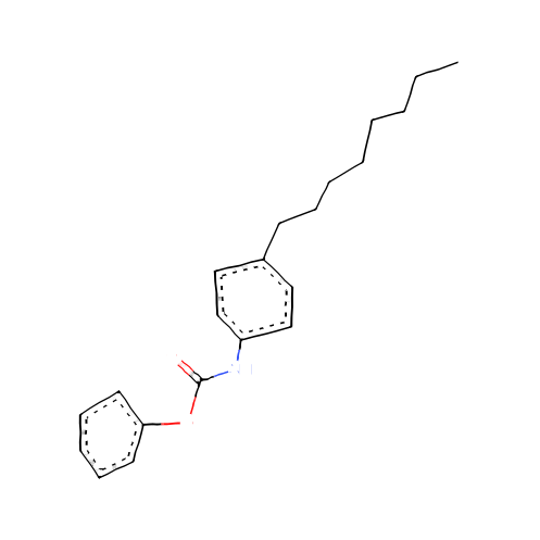 CCCCCCCCc1ccc(NC(=O)Oc2ccccc2)cc1